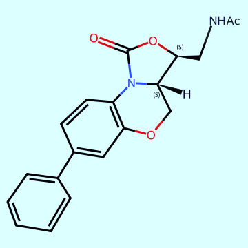 CC(=O)NC[C@@H]1OC(=O)N2c3ccc(-c4ccccc4)cc3OC[C@@H]12